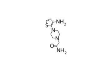 NC(=O)CN1CCN(c2sccc2N)CC1